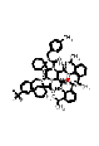 Cc1ccc(CN2C(=O)N(C(C(=O)Nc3c(C(C)C)cccc3C(C)C)C(C(=O)Nc3c(C(C)C)cccc3C(C)C)N3C(=O)N(Cc4ccc(C(F)(F)F)cc4)C4(CCCCC4)C3=O)C(=O)C23CCCCC3)cc1